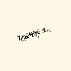 C=CC(=O)OCCCCCC(=O)Oc1ccc(C(=O)Oc2ccc(OC(=O)c3ccc(OC(=O)C(CCCC)OC(=O)C=C)cc3)c(C)c2)cc1